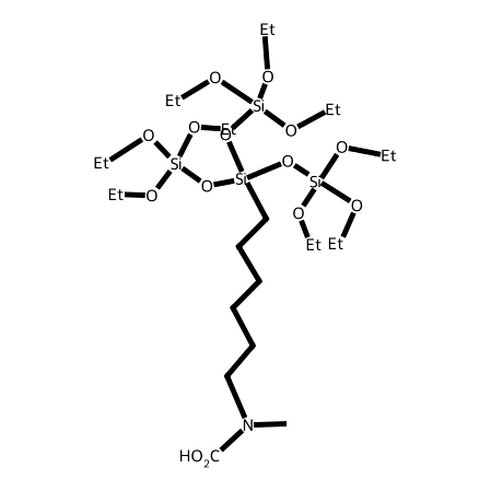 CCO[Si](OCC)(OCC)O[Si](CCCCCCN(C)C(=O)O)(O[Si](OCC)(OCC)OCC)O[Si](OCC)(OCC)OCC